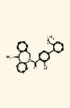 COc1ccccc1-c1ccc(C(=O)N2Cc3ccccc3N(C)c3ccccc32)c(Cl)c1